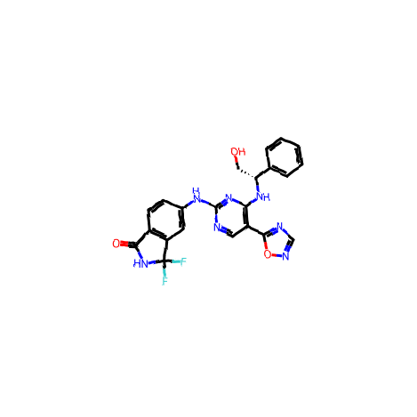 O=C1NC(F)(F)c2cc(Nc3ncc(-c4ncno4)c(N[C@H](CO)c4ccccc4)n3)ccc21